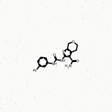 CC(=O)c1cccc(NC(=O)Nc2sc3c(c2C(N)=O)CCOC3)c1